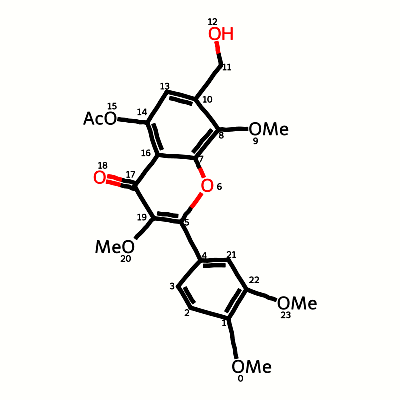 COc1ccc(-c2oc3c(OC)c(CO)cc(OC(C)=O)c3c(=O)c2OC)cc1OC